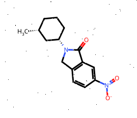 C[C@@H]1CCC[C@H](N2Cc3ccc([N+](=O)[O-])cc3C2=O)C1